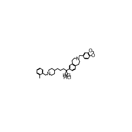 Cc1ccccc1CN1CCC(CCCC(=O)c2ccc3c(c2)CCN(Cc2ccc4c(c2)OCO4)CC3)CC1.Cl.Cl